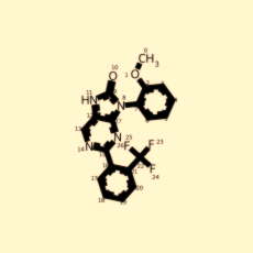 COc1ccccc1-n1c(=O)[nH]c2cnc(-c3ccccc3C(F)(F)F)nc21